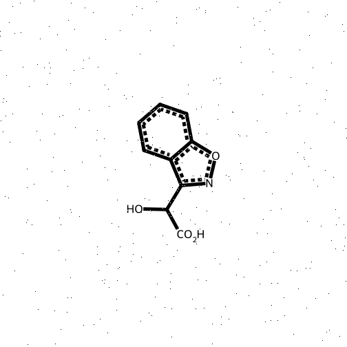 O=C(O)C(O)c1noc2ccccc12